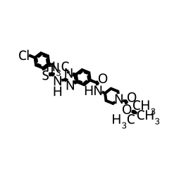 Cn1c(Nc2nc3ccc(Cl)cc3s2)nc2cc(C(=O)NC3CCN(C(=O)OC(C)(C)C)CC3)ccc21